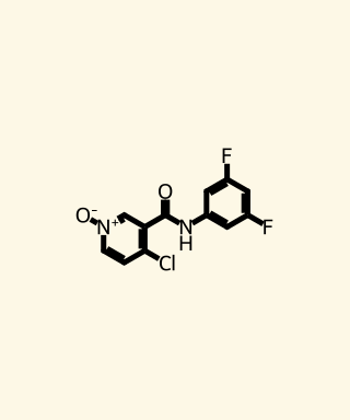 O=C(Nc1cc(F)cc(F)c1)c1c[n+]([O-])ccc1Cl